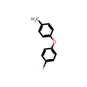 [CH2]c1ccc(Oc2ccc(I)cc2)cc1